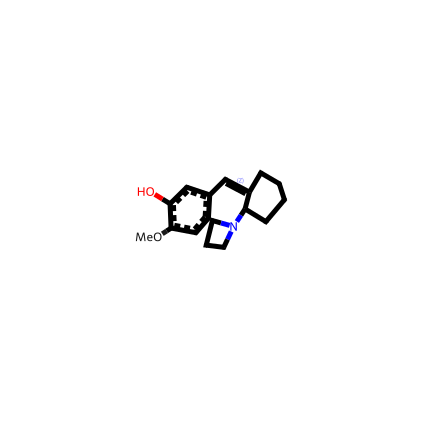 COc1ccc(/C=C2/CCCCC2N2CCC2)cc1O